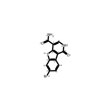 NC(=O)c1c[nH]c(=O)c2c1sc1cc(Br)ccc12